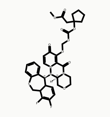 COC(=O)CC1(OC(=O)OCOc2c3n(ccc2=O)N([C@@H]2c4ccccc4SCC4C(F)=C(F)C=CC42)[C@@H]2COCCN2C3=O)CCCC1